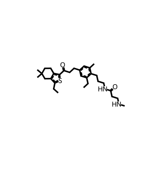 CCc1cc(CCC(=O)c2sc(CC)c3c2CCC(C)(C)C3)cc(C)c1CCCNC(=O)CCNC